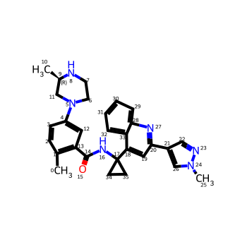 Cc1ccc(N2CCN[C@H](C)C2)cc1C(=O)NC1(c2cc(-c3cnn(C)c3)nc3ccccc23)CC1